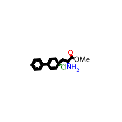 COC(=O)C(N)CC1(Cl)C=CC(c2ccccc2)=CC1